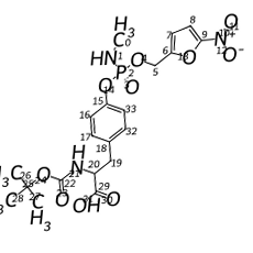 CNP(=O)(OCc1ccc([N+](=O)[O-])o1)Oc1ccc(CC(NC(=O)OC(C)(C)C)C(=O)O)cc1